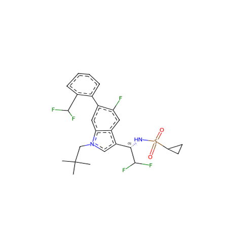 CC(C)(C)Cn1cc([C@H](NS(=O)(=O)C2CC2)C(F)F)c2cc(F)c(-c3ccccc3C(F)F)cc21